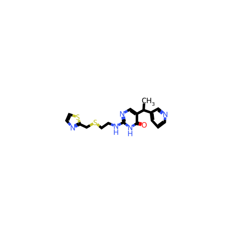 CC(c1cccnc1)c1cnc(NCCSCc2nccs2)[nH]c1=O